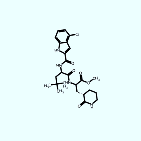 COC(=O)C(C[C@@H]1CCCNC1=O)NC(=O)C(CC(C)(C)C)NC(=O)c1cc2c(Cl)cccc2[nH]1